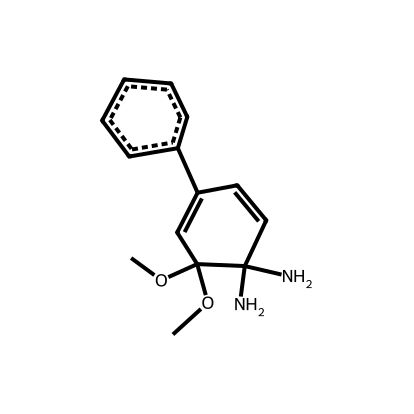 COC1(OC)C=C(c2ccccc2)C=CC1(N)N